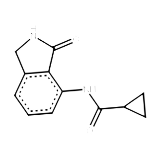 O=C1NCc2cccc(NC(=O)C3CC3)c21